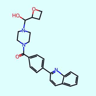 O=C(c1ccc(-c2ccc3ccccc3n2)cc1)N1CCN(C(O)C2CCO2)CC1